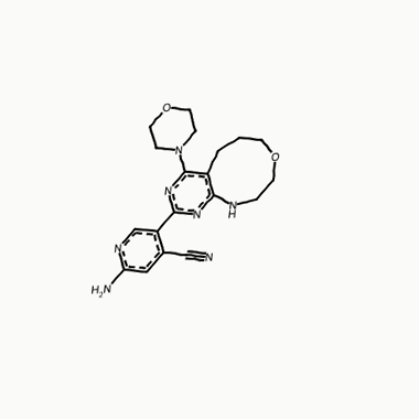 N#Cc1cc(N)ncc1-c1nc2c(c(N3CCOCC3)n1)CCCOCCN2